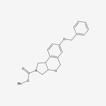 CC(C)(C)OC(=O)N1CC2OCc3cc(OCc4ccccc4)ccc3C2C1